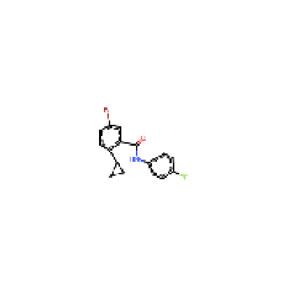 O=C(Nc1ccc(F)cc1)c1cc(Br)ccc1C1CC1